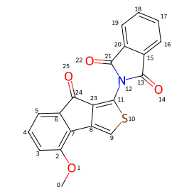 COc1cccc2c1-c1csc(N3C(=O)c4ccccc4C3=O)c1C2=O